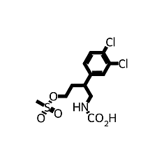 CS(=O)(=O)OCCC(CNC(=O)O)c1ccc(Cl)c(Cl)c1